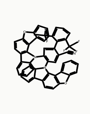 N#Cc1cc(-n2c3ccccc3c3ccc4oc5ccccc5c4c32)c(-n2c3ccccc3c3ccc4oc5ccccc5c4c32)cc1-c1c(C(F)(F)F)cccc1C(F)(F)F